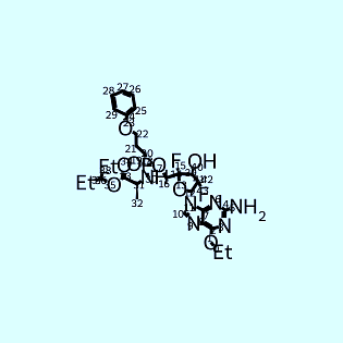 CCOc1nc(N)nc2c1ncn2[C@@H]1O[C@](F)(COP(=O)(CCCOc2ccccc2)N[C@@H](C)C(=O)OC(CC)CC)[C@@H](O)[C@@]1(C)F